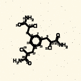 NC(=O)C(Cl)Cc1cc(CC(Cl)C(N)=O)cc(CC(Cl)C(N)=O)c1